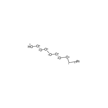 CC(C)COOOOOOOO